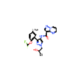 CCC(O)Cn1cc(NC(=O)c2cnn3cccnc23)c(-c2cc(SC)ccc2OC(F)F)n1